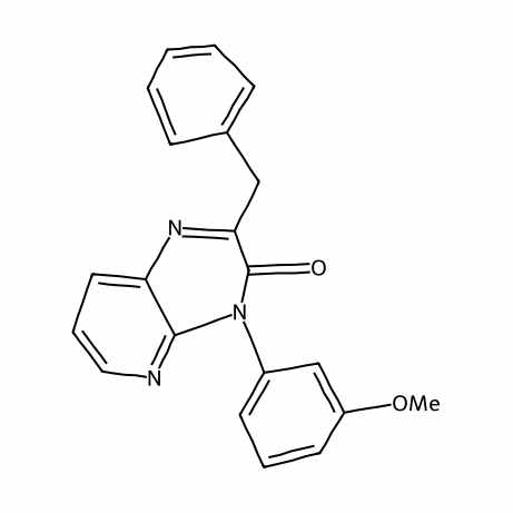 COc1cccc(-n2c(=O)c(Cc3ccccc3)nc3cccnc32)c1